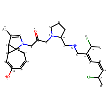 CC(=O)C1=CN(CC(=O)CN2CCCC2CNC/C(=C/C=C\C(C)Cl)C(C)F)[C@]23CC=CC(O)=CC2C13